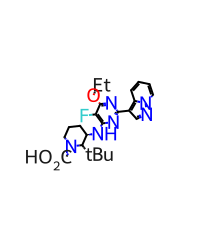 CCOc1nc(-c2cnn3ccccc23)nc(N[C@@H]2CCCN(C(=O)O)C2C(C)(C)C)c1F